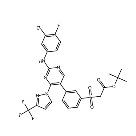 CC(C)(C)OC(=O)CS(=O)(=O)c1cccc(-c2cnc(Nc3ccc(F)c(Cl)c3)nc2-n2ccc(C(F)(F)F)n2)c1